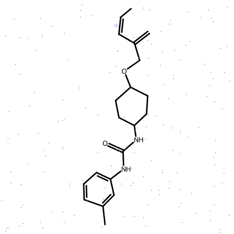 C=C(/C=C\C)COC1CCC(NC(=O)Nc2cccc(C)c2)CC1